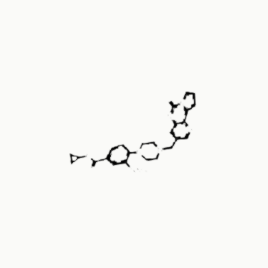 CNc1cc(C(=O)NC2CC2)ccc1N1CCN(Cc2cnc3c(c2)[nH]c(=O)n2cccc32)CC1